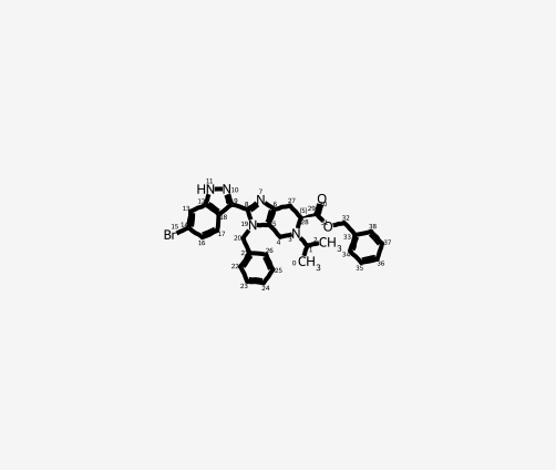 CC(C)N1Cc2c(nc(-c3n[nH]c4cc(Br)ccc34)n2Cc2ccccc2)C[C@H]1C(=O)OCc1ccccc1